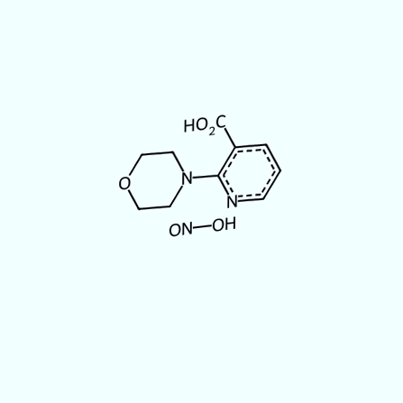 O=C(O)c1cccnc1N1CCOCC1.O=NO